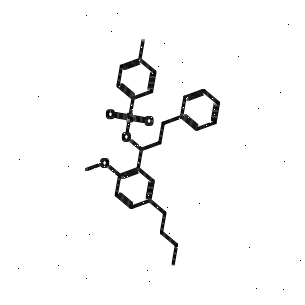 CCCCc1ccc(OC)c(C(CCc2ccccc2)OS(=O)(=O)c2ccc(C)cc2)c1